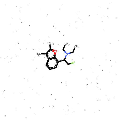 CCN(CC)C(CF)c1cccc2c(C)c(C)oc12